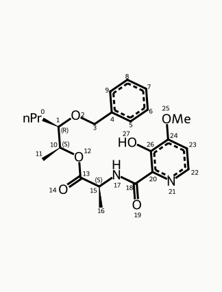 CCC[C@@H](OCc1ccccc1)[C@H](C)OC(=O)[C@H](C)NC(=O)c1nccc(OC)c1O